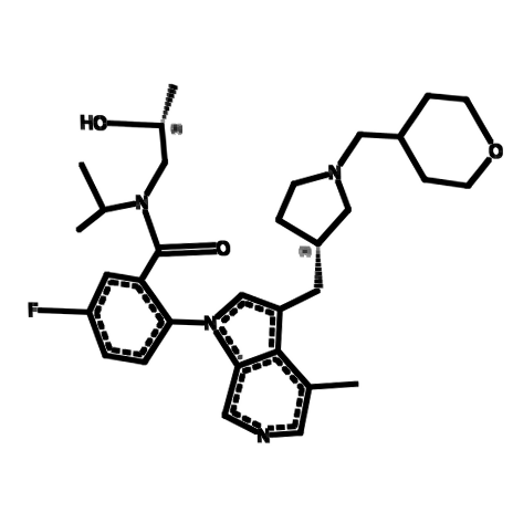 Cc1cncc2c1c(C[C@@H]1CCN(CC3CCOCC3)C1)cn2-c1ccc(F)cc1C(=O)N(C[C@@H](C)O)C(C)C